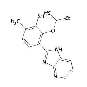 CCC(S)Oc1c(-c2nc3ncccc3[nH]2)ccc(C)c1S